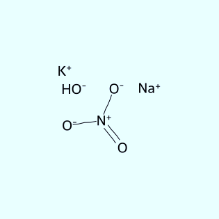 O=[N+]([O-])[O-].[K+].[Na+].[OH-]